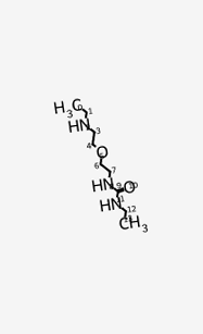 CCNCCOCCNC(=O)NCC